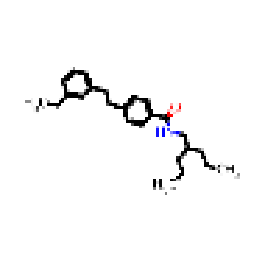 CCCC(CCC)CNC(=O)c1ccc(CCc2cccc(CC)c2)cc1